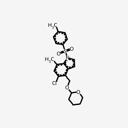 Cc1ccc(S(=O)(=O)n2ccc3c(COC4CCCCO4)c(Cl)cc(C)c32)cc1